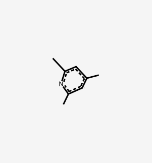 Cc1[c]c(C)nc(C)c1